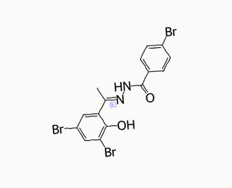 C/C(=N\NC(=O)c1ccc(Br)cc1)c1cc(Br)cc(Br)c1O